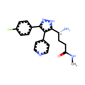 CNC(=O)CC[C@@H](N)c1[nH]nc(-c2ccc(F)cc2)c1-c1ccncc1